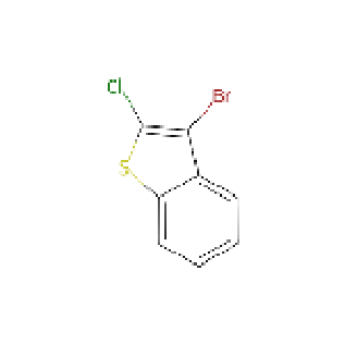 Clc1sc2ccccc2c1Br